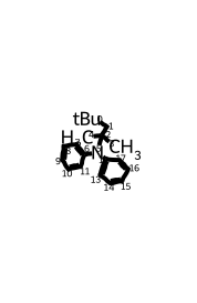 CC(C)(C)CC(C)(C)N(c1ccccc1)c1ccccc1